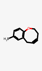 Bc1ccc2c(c1)CC#CCCO2